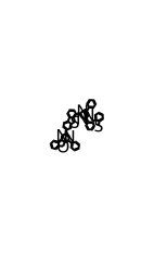 c1ccc(-c2nc(-c3cccc4c3sc3cc(-c5nc(-c6ccccc6)c6oc7ccccc7c6n5)ccc34)nc(-c3cccc4sc5ccccc5c34)n2)cc1